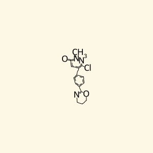 Cn1nc(Cl)c(-c2ccc(C3=NCCCO3)cc2)cc1=O